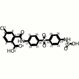 O=C(O)c1ccc(Cl)cc1C(=O)Nc1ccc(S(=O)(=O)c2ccc(NS(=O)O)cc2)cc1